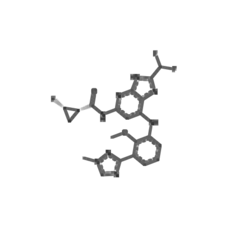 COc1c(Nc2cc(NC(=O)[C@@H]3C[C@@H]3F)nc3[nH]c(C(F)F)nc23)cccc1-c1ncn(C)n1